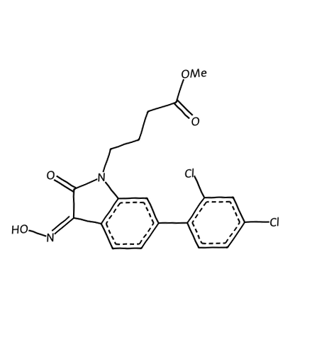 COC(=O)CCCN1C(=O)/C(=N\O)c2ccc(-c3ccc(Cl)cc3Cl)cc21